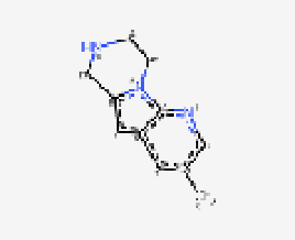 FC(F)(F)c1cnc2c(c1)cc1n2CCNC1